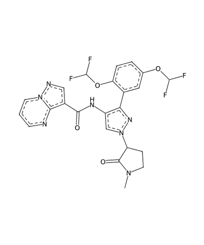 CN1CCC(n2cc(NC(=O)c3cnn4cccnc34)c(-c3cc(OC(F)F)ccc3OC(F)F)n2)C1=O